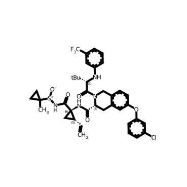 C=C[C@@H]1C[C@]1(NC(=O)[C@H]1Cc2cc(Oc3cccc(Cl)c3)ccc2CN1C(=O)[C@@H](Nc1cccc(C(F)(F)F)c1)C(C)(C)C)C(=O)N[S+]([O-])C1(C)CC1